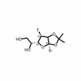 CC1(C)OC2[C@H](O[C@H](C(O)CO)[C@H]2F)O1